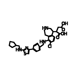 O=C(O)CC(C(=O)O)C1CNCCc2c1ccc(Cl)c2NCc1ccc(-c2csc(NCC3CCCC3)n2)cc1